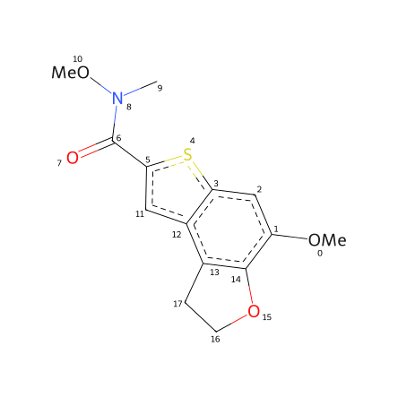 COc1cc2sc(C(=O)N(C)OC)cc2c2c1OCC2